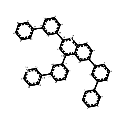 c1ccc(-c2cccc(-c3ccc4nc(-c5cccc(-c6ccccc6)c5)cc(-c5cccc(-c6cccnc6)c5)c4c3)c2)cc1